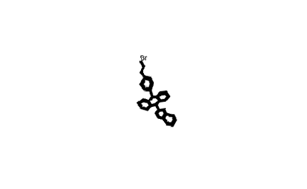 BrCCCc1ccc(-c2c3ccccc3c(-c3ccc4ccccc4c3)c3ccccc23)cc1